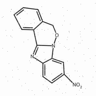 O=[N+]([O-])c1ccc2nc3n(c2c1)OCc1ccccc1-3